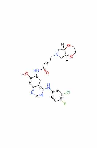 COc1cc2ncnc(Nc3ccc(F)c(Cl)c3)c2cc1NC(=O)/C=C/CN1C[C@@H]2OCCO[C@H]2C1